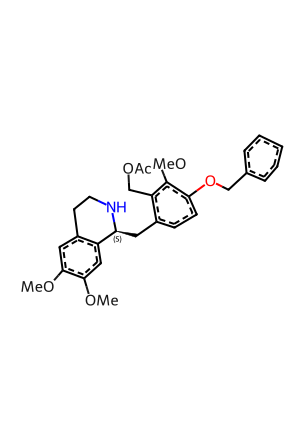 COc1cc2c(cc1OC)[C@H](Cc1ccc(OCc3ccccc3)c(OC)c1COC(C)=O)NCC2